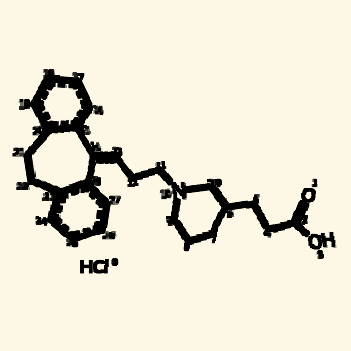 Cl.O=C(O)CCC1CCCN(CCC=C2c3ccccc3CCc3ccccc32)C1